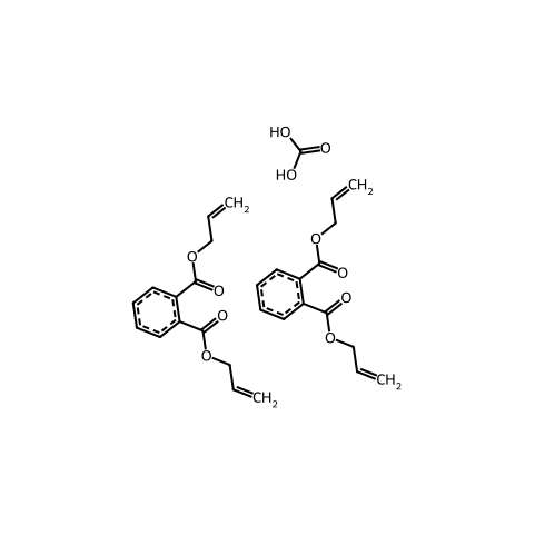 C=CCOC(=O)c1ccccc1C(=O)OCC=C.C=CCOC(=O)c1ccccc1C(=O)OCC=C.O=C(O)O